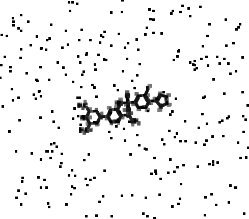 COc1ccc(N2CC(C)NC(C)C2)cc1NS(=O)(=O)c1ccc(-c2cccs2)c(F)c1